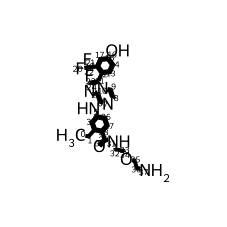 CCc1cc(Nc2nccn3c(-c4ccc(O)cc4C(F)(F)F)cnc23)ccc1C(=O)NCCOCCN